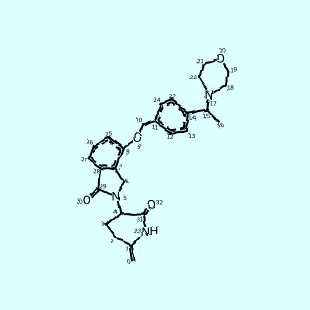 C=C1CCC(N2Cc3c(OCc4ccc(C(C)N5CCOCC5)cc4)cccc3C2=O)C(=O)N1